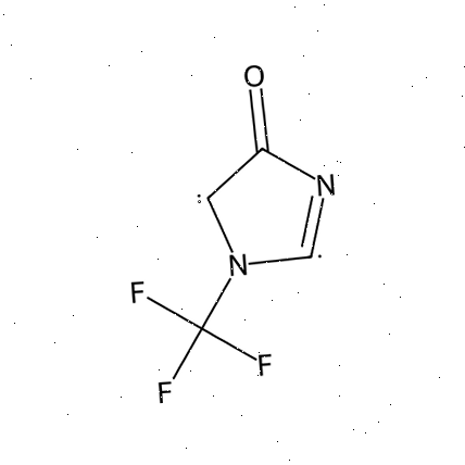 O=C1[C]N(C(F)(F)F)[C]=N1